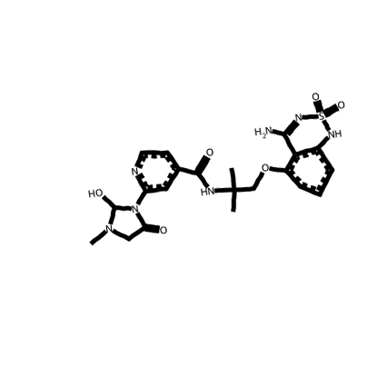 CN1CC(=O)N(c2cc(C(=O)NC(C)(C)COc3cccc4c3C(N)=NS(=O)(=O)N4)ccn2)C1O